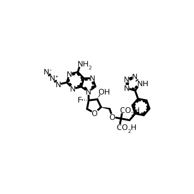 [N-]=[N+]=Nc1nc(N)c2ncn([C@]3(F)CO[C@H](COC(Cc4cccc(-c5nnn[nH]5)c4)(C(=O)O)C(=O)O)[C@H]3O)c2n1